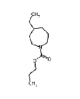 CCCOC(=O)N1CCCC(CC)CC1